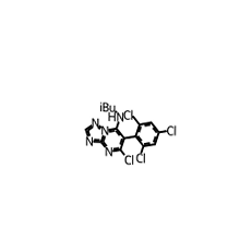 CCC(C)Nc1c(-c2c(Cl)cc(Cl)cc2Cl)c(Cl)nc2ncnn12